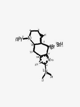 Br.Br.CCCN1CCCC2Cc3nc(N(C)C)sc3CC21